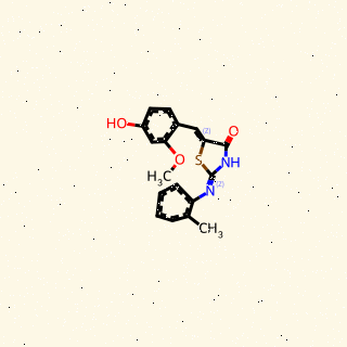 COc1cc(O)ccc1/C=C1\S/C(=N\c2ccccc2C)NC1=O